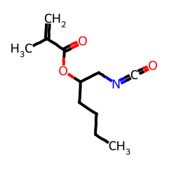 C=C(C)C(=O)OC(CCCC)CN=C=O